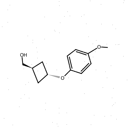 COc1ccc(O[C@H]2C[C@H](CO)C2)cc1